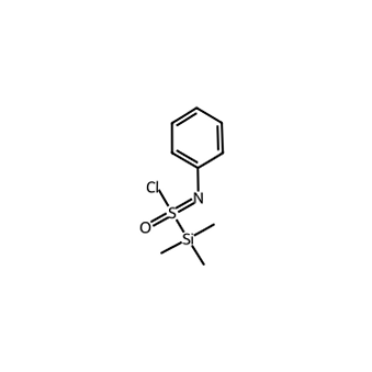 C[Si](C)(C)S(=O)(Cl)=Nc1ccccc1